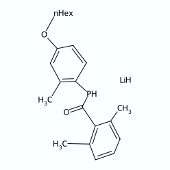 CCCCCCOc1ccc(PC(=O)c2c(C)cccc2C)c(C)c1.[LiH]